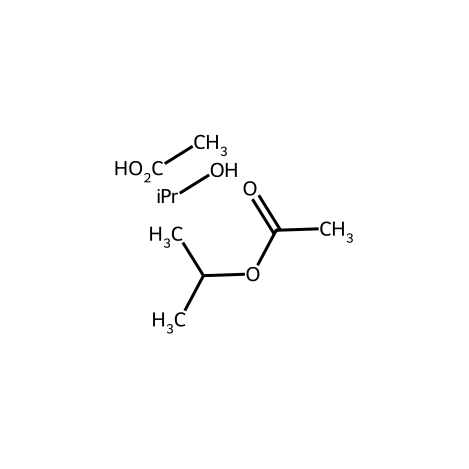 CC(=O)O.CC(=O)OC(C)C.CC(C)O